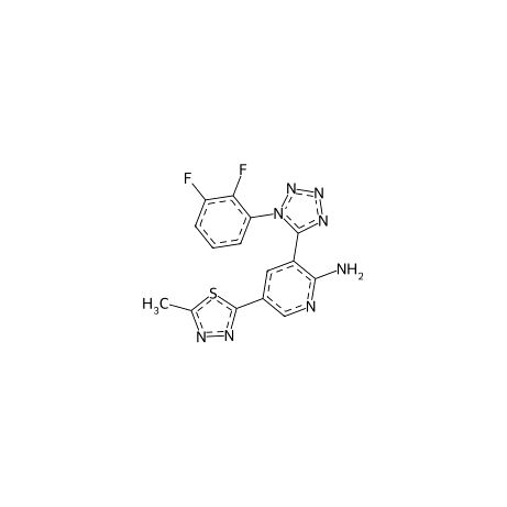 Cc1nnc(-c2cnc(N)c(-c3nnnn3-c3cccc(F)c3F)c2)s1